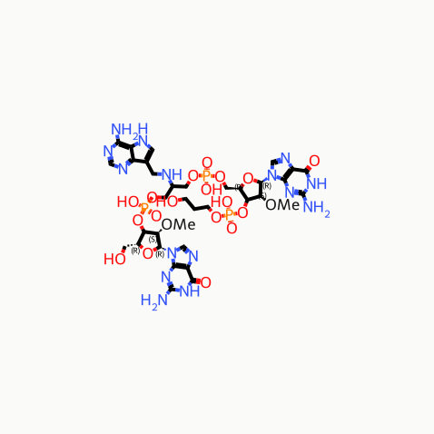 CO[C@H]1C(OP(=O)(O)OCC(COP(=O)(O)OC[C@H]2O[C@@H](n3cnc4c(=O)[nH]c(N)nc43)[C@@H](OC)C2OP(=O)(O)OCCCO)NCc2c[nH]c3c(N)ncnc23)[C@@H](CO)O[C@H]1n1cnc2c(=O)[nH]c(N)nc21